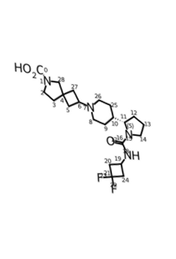 O=C(O)N1CCC2(CC(N3CCC([C@@H]4CCCN4C(=O)NC4CC(F)(F)C4)CC3)C2)C1